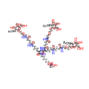 CCP(=O)(O)OCCCCCCNC(=O)[C@H](CCCCNC(=O)CCCC(=O)NCCOCCOC1OC(CO)C(O)C(O)C1NC(C)=O)NC(=O)[C@H](CCCCNC(=O)CCCC(=O)NCCOCCOC1OC(CO)C(O)C(O)C1NC(C)=O)NC(=O)CCCC(=O)NCCOCCOC1OC(CO)C(O)C(O)C1NC(C)=O